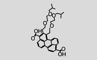 CC(C)COCCOCCc1c(C(=O)O)c2cccc3c4ccc(C(=O)O)c5cccc(c(c1CCOCCOCC(C)C)c23)c54